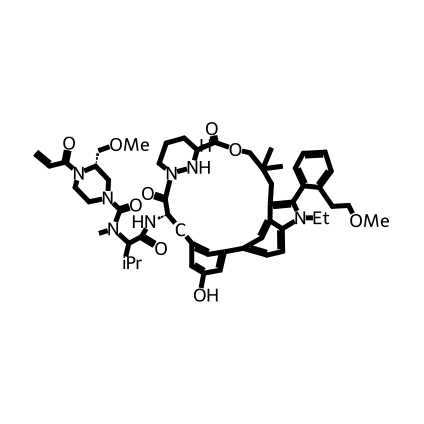 C=CC(=O)N1CCN(C(=O)N(C)C(C(=O)N[C@H]2Cc3cc(O)cc(c3)-c3ccc4c(c3)c(c(-c3ccccc3CCOC)n4CC)CC(C)(C)COC(=O)[C@@H]3CCCN(N3)C2=O)C(C)C)C[C@H]1COC